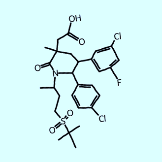 CC(CCS(=O)(=O)C(C)(C)C)N1C(=O)C(C)(CC(=O)O)CC(c2cc(F)cc(Cl)c2)C1c1ccc(Cl)cc1